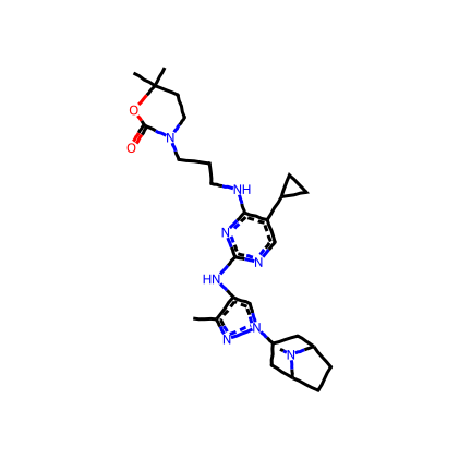 Cc1nn(C2CC3CCC(C2)N3C)cc1Nc1ncc(C2CC2)c(NCCCN2CCC(C)(C)OC2=O)n1